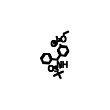 CCOP(C)(=O)c1cccc([C@H](N[S@+]([O-])C(C)(C)C)c2ccccc2)c1